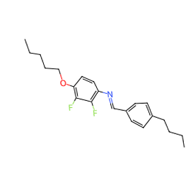 CCCCCOc1ccc(N=Cc2ccc(CCCC)cc2)c(F)c1F